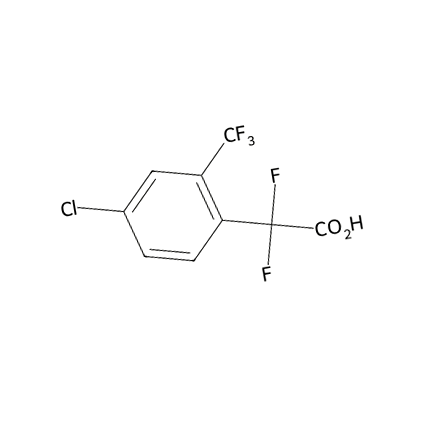 O=C(O)C(F)(F)c1ccc(Cl)cc1C(F)(F)F